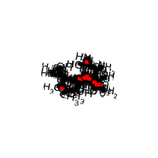 CC[C@H](C)[C@H](NC(=O)[C@H](CO)NC(=O)CNC(=O)[C@H](CO)NC(=O)[C@H](CC(C)C)NC(=O)[C@H](CCC(N)=O)NC(=O)[C@H](CCC(=O)O)NC(=O)[C@H](Cc1ccccc1)NC(=O)[C@H](CCC(N)=O)NC(=O)[C@H](Cc1c[nH]cn1)NC(=O)[C@@H](N)CO)C(=O)N[C@@H](CC(C)C)C(=O)N[C@@H](Cc1c[nH]c2ccccc12)C(=O)N[C@@H](Cc1c[nH]cn1)C(=O)N[C@@H](C)C(=O)O